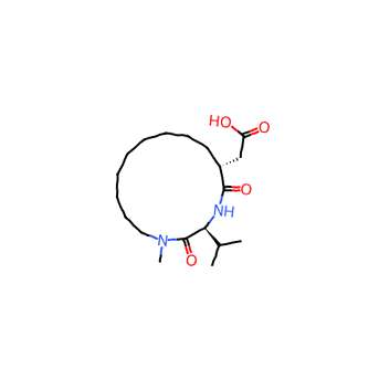 CC(C)[C@@H]1NC(=O)[C@@H](CC(=O)O)CCCCCCCCCN(C)C1=O